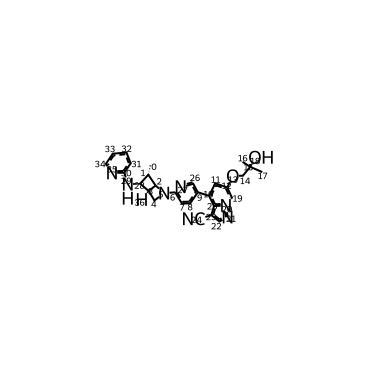 C[C@@H]1C2[C@@H](CN2c2ccc(-c3cc(OCC(C)(C)O)cn4ncc(C#N)c34)cn2)[C@H]1Nc1ccccn1